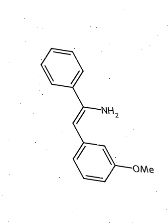 COc1cccc(C=C(N)c2ccccc2)c1